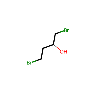 O[C@@H](CBr)CCBr